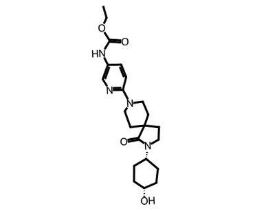 CCOC(=O)Nc1ccc(N2CCC3(CC2)CCN([C@H]2CC[C@@H](O)CC2)C3=O)nc1